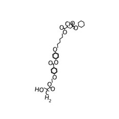 C=C(CO)C(=O)OCCOc1ccc(C(=O)Oc2ccc(OCCCCCCOC(=O)C(=C)CC(=O)OC3CCCCC3)cc2)cc1